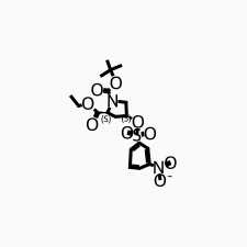 CCOC(=O)[C@@H]1C[C@H](OS(=O)(=O)c2cccc([N+](=O)[O-])c2)CN1C(=O)OC(C)(C)C